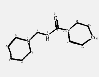 O=C(NCN1CCCCC1)N1CCOCC1